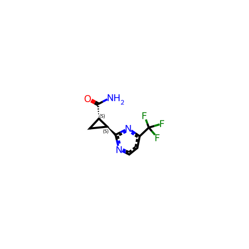 NC(=O)[C@H]1C[C@@H]1c1nccc(C(F)(F)F)n1